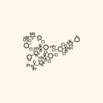 CC(C)N(C(=O)Cc1nnc(NS(=O)(=O)c2c(Cl)cc(Cl)cc2Cl)s1)C(C)C.CCCc1ccc(S(=O)(=O)Nc2nnc(-c3cccnc3)s2)cc1.Cc1c(Cl)cccc1S(=O)(=O)Nc1nnc(-c2ccc(Cl)s2)s1.O=S(=O)(Nc1nnc(-c2cccnc2)s1)c1c(Cl)cc(Cl)cc1Cl